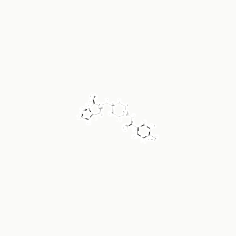 O=C(CN1CCC(CN2Cc3ccsc3C2=O)CC1)c1ccc(F)cc1